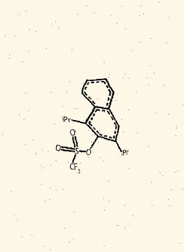 CC(C)c1cc2ccccc2c(C(C)C)c1OS(=O)(=O)C(F)(F)F